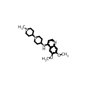 COc1cc2nccc(NC3CCN(C4CCN(C)CC4)CC3)c2cc1OC